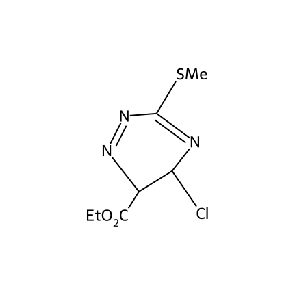 CCOC(=O)C1N=NC(SC)=NC1Cl